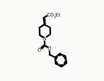 CCOC(=O)C=C1CCN(C(=O)OCc2ccccc2)CC1